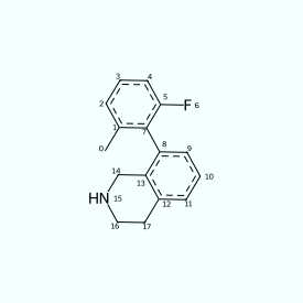 Cc1cccc(F)c1-c1cccc2c1CNCC2